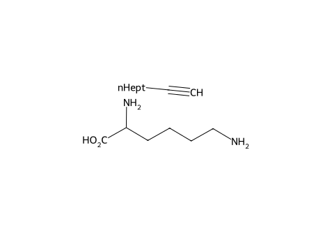 C#CCCCCCCC.NCCCCC(N)C(=O)O